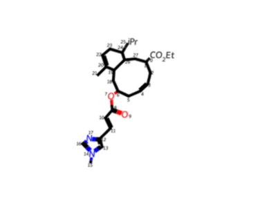 CCOC(=O)C1C/C=C\CC(OC(=O)/C=C/c2cn(C)cn2)CC2C(C)=CCC(C(C)C)C2C1